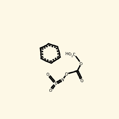 O=C(O)OC(=O)ON=S(=O)=O.c1ccccc1